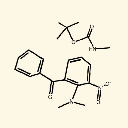 CN(C)c1c(C(=O)c2ccccc2)cccc1[N+](=O)[O-].CNC(=O)OC(C)(C)C